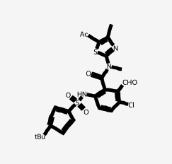 CC(=O)c1sc(N(C)C(=O)c2c(NS(=O)(=O)c3ccc(C(C)(C)C)cc3)ccc(Cl)c2C=O)nc1C